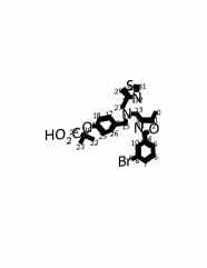 Cc1oc(-c2cccc(Br)c2)nc1CN(Cc1ccc(OC(C)(C)C(=O)O)cc1)Cc1cscn1